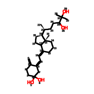 C=C1CCC(O)(O)C/C1=C/C=C1CCC[C@@]2(C)C1CC[C@@H]2[C@H](C)CCC(O)C(C)(C)O